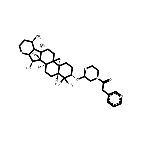 C[C@@H]1CCOC2C1[C@@]1(C)CCC34C[C@@]35CC[C@H](OC3CN(C(=O)Cc6cccnc6)CCO3)C(C)(C)[C@@H]5CC[C@H]4[C@]1(C)[C@H]2O